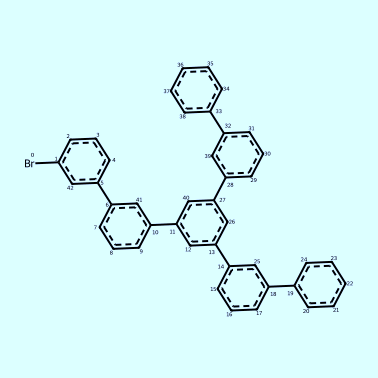 Brc1cccc(-c2cccc(-c3cc(-c4cccc(-c5ccccc5)c4)cc(-c4cccc(-c5ccccc5)c4)c3)c2)c1